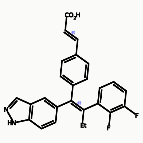 CC/C(=C(/c1ccc(/C=C/C(=O)O)cc1)c1ccc2[nH]ncc2c1)c1cccc(F)c1F